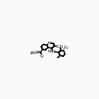 CCOC(=O)c1cnc2ccc(C(=O)NC)cc2c1Nc1c(C)cccc1C